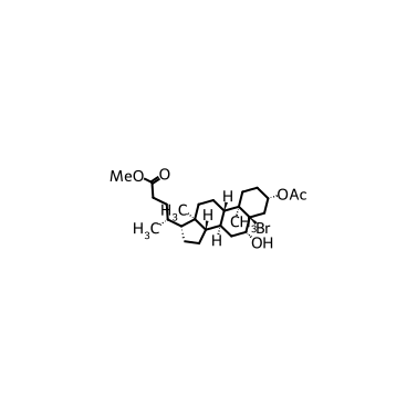 COC(=O)CC[C@@H](C)[C@H]1CC[C@H]2[C@@H]3C[C@@H](O)[C@@]4(Br)C[C@@H](OC(C)=O)CC[C@]4(C)[C@H]3CC[C@]12C